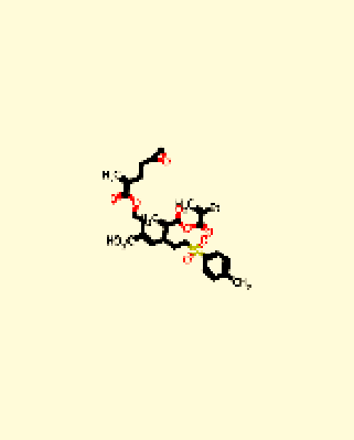 C=C(CCC1CO1)C(=O)OCCC(=CC(CCS(=O)(=O)c1ccc(C)cc1)C(=C)C(=O)OC(=O)C(=C)CC)C(=O)O